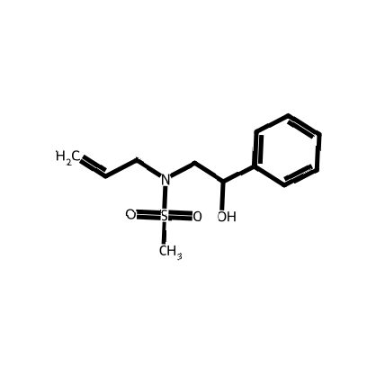 C=CCN(CC(O)c1ccccc1)S(C)(=O)=O